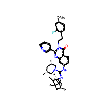 COc1ccc(CCn2c(-c3cccnc3)nc3cc(N/C(=N/[C@H]4C[C@@H]5C[C@H](C4C)C5(C)C)N4C[C@H](C)C[C@H](C)C4)ccc3c2=O)c(F)c1